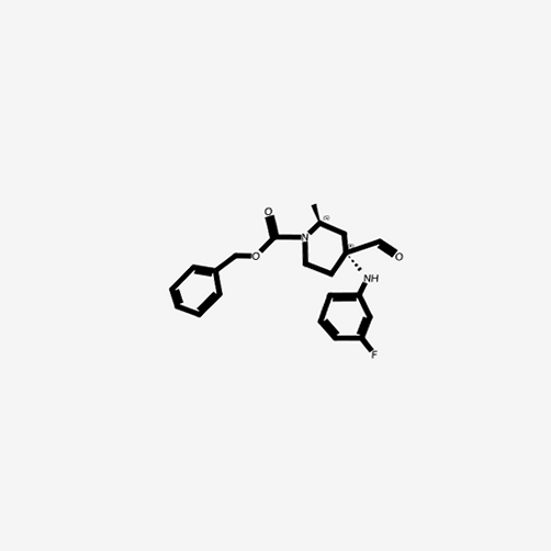 C[C@H]1C[C@](C=O)(Nc2cccc(F)c2)CCN1C(=O)OCc1ccccc1